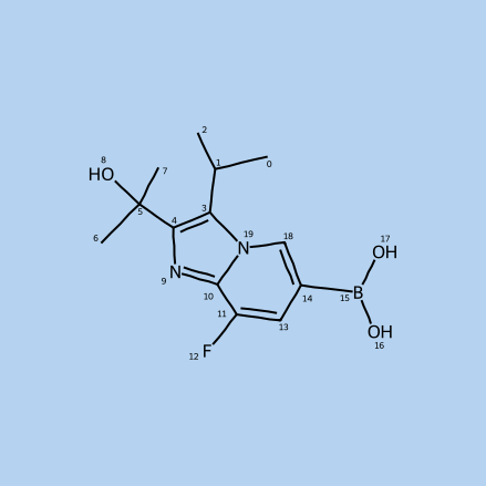 CC(C)c1c(C(C)(C)O)nc2c(F)cc(B(O)O)cn12